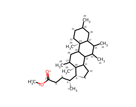 COC(=O)CC[C@@H](C)[C@H]1CCC2C3C(C)C(C)C4CC(C)CC[C@]4(C)C3CC(C)[C@@]21C